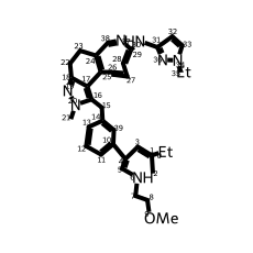 CC/C(C)=C/C(=C\NCCOC)c1cccc(Cc2c3c(nn2C)CCC2=C3/C=C/C=C(Nc3ccn(CC)n3)/N=C\2)c1